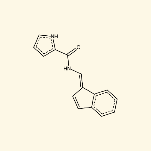 O=C(NC=C1C=Cc2ccccc21)c1ccc[nH]1